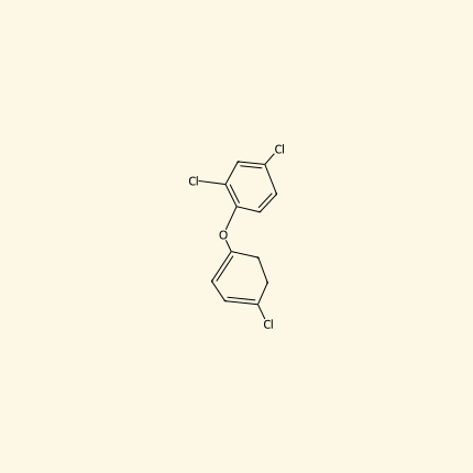 ClC1=CC=C(Oc2ccc(Cl)cc2Cl)CC1